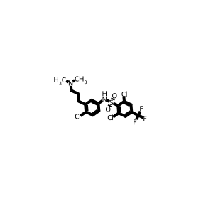 CN(C)CCCc1cc(NS(=O)(=O)c2c(Cl)cc(C(F)(F)F)cc2Cl)ccc1Cl